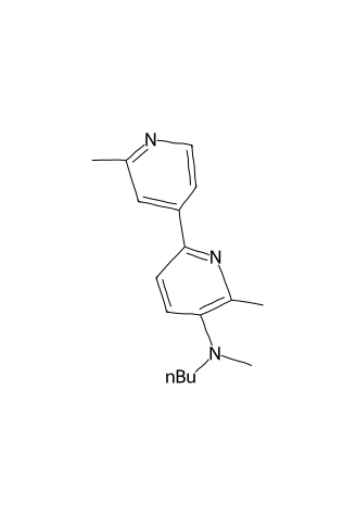 CCCCN(C)c1ccc(-c2ccnc(C)c2)nc1C